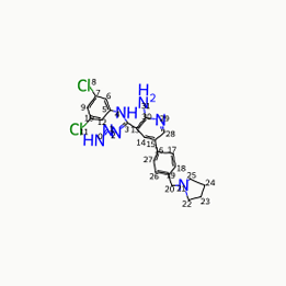 N=N/N=C(\Nc1cc(Cl)cc(Cl)c1)c1cc(-c2ccc(CN3CCCC3)cc2)cnc1N